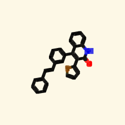 O=c1[nH]c2ccccc2c(-c2cccc(C=Cc3ccccc3)c2)c1-c1cccs1